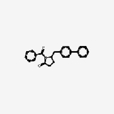 O=C1CCC(Cc2ccc(-c3ccccc3)cc2)N1C(=O)c1ccccc1